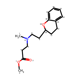 COC(=O)CCN(C)CCC1CCc2ccccc2O1